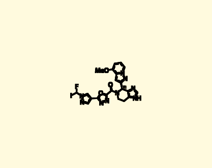 COc1cccn2nc([C@H]3c4nc[nH]c4CCN3C(=O)c3nnc(-c4cnn(C(F)I)c4)o3)cc12